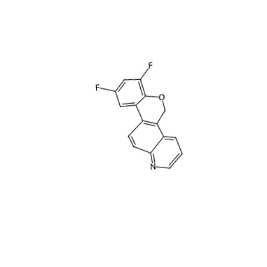 Fc1cc(F)c2c(c1)-c1ccc3ncccc3c1CO2